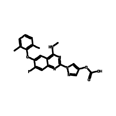 CNc1nc(-n2cc(OC(=O)O)cn2)nc2cc(F)c(Oc3c(C)cccc3C)cc12